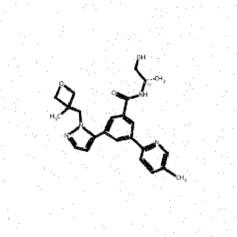 Cc1ccc(-c2cc(C(=O)N[C@@H](C)CO)cc(-c3ccnn3CC3(C)COC3)c2)nc1